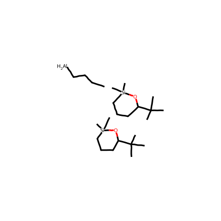 CC(C)(C)C1CCC[Si](C)(C)O1.CC(C)(C)C1CCC[Si](C)(C)O1.CCC[CH2][AlH2]